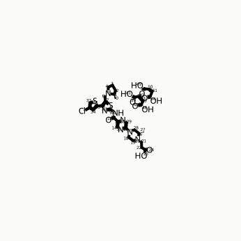 C[C@@H]1CCCN1Cc1sc(NC(=O)c2cnc(N3CCN(CCC(=O)O)[C@@H](C)C3)cn2)nc1-c1cc(Cl)cs1.O=C(O)/C=C\C(=O)O.O=C(O)/C=C\C(=O)O